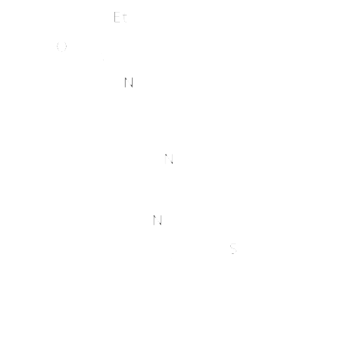 CCC(=O)N1CCN(C2=Nc3ccccc3Sc3ccccc32)CC1